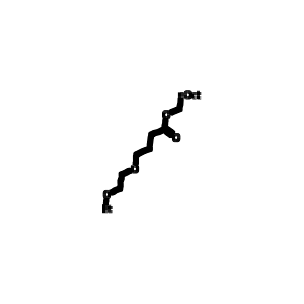 CCCCCCCCCOC(=O)CCCOCCOCC